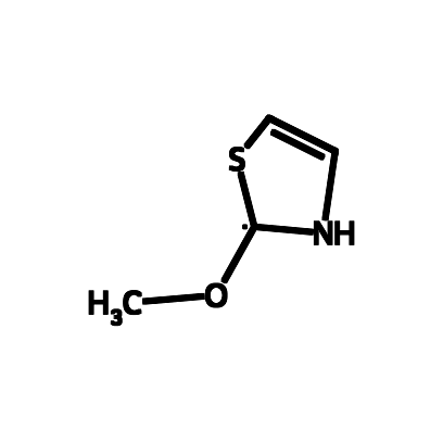 CO[C]1NC=CS1